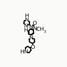 Cn1c(=O)n(C2CNCCN2)c2ccc(N3CCC(OC4CCNCC4)CC3)cc21